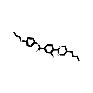 CCCCC1COC(c2ccc(C(=O)Oc3ccc(OCCC)cc3)cc2F)OC1